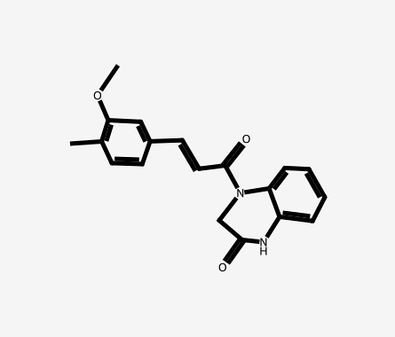 COc1cc(/C=C/C(=O)N2CC(=O)Nc3ccccc32)ccc1C